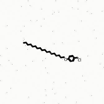 CCCCCCCCCCCCCCCCCCOc1ccc(CCl)cc1